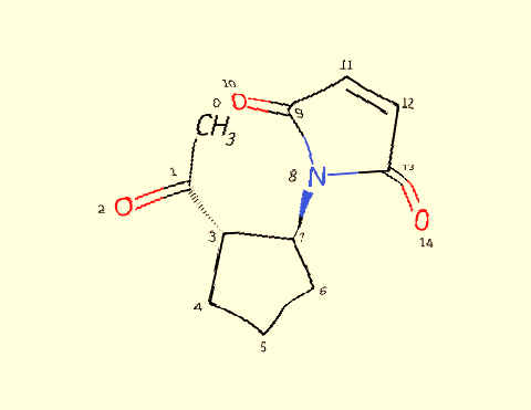 CC(=O)[C@H]1CCC[C@@H]1N1C(=O)C=CC1=O